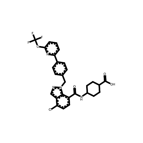 O=C(NC1CCC(C(=O)O)CC1)c1ccc(Cl)c2cnn(Cc3ccc(-c4cccc(OC(F)(F)F)n4)cc3)c12